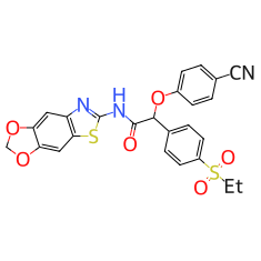 CCS(=O)(=O)c1ccc(C(Oc2ccc(C#N)cc2)C(=O)Nc2nc3cc4c(cc3s2)OCO4)cc1